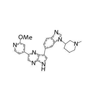 COc1cc(-c2cnc3[nH]cc(-c4ccc5ncn(C6CCCN(C)C6)c5c4)c3n2)ccn1